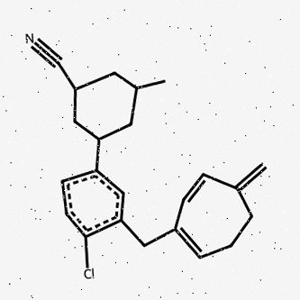 C=C1C=CC(Cc2cc(C3CC(C)CC(C#N)C3)ccc2Cl)=CCC1